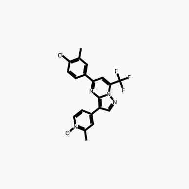 Cc1cc(-c2cc(C(F)(F)F)n3ncc(-c4cc[n+]([O-])c(C)c4)c3n2)ccc1Cl